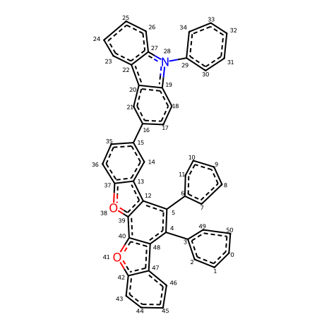 c1ccc(-c2c(-c3ccccc3)c3c4cc(-c5ccc6c(c5)c5ccccc5n6-c5ccccc5)ccc4oc3c3oc4ccccc4c23)cc1